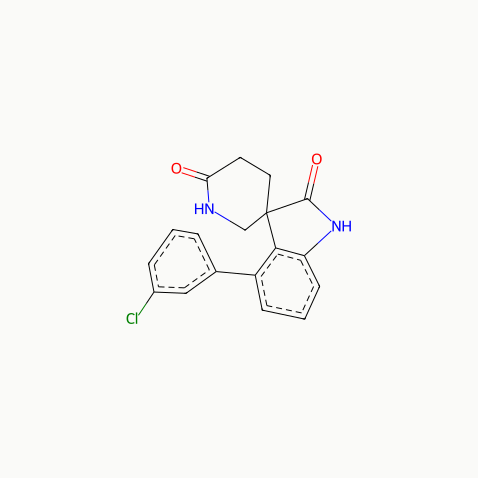 O=C1CCC2(CN1)C(=O)Nc1cccc(-c3cccc(Cl)c3)c12